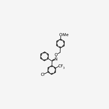 COc1ccc(CO/N=C(\c2ccccc2)c2cc(Cl)ccc2C(F)(F)F)cc1